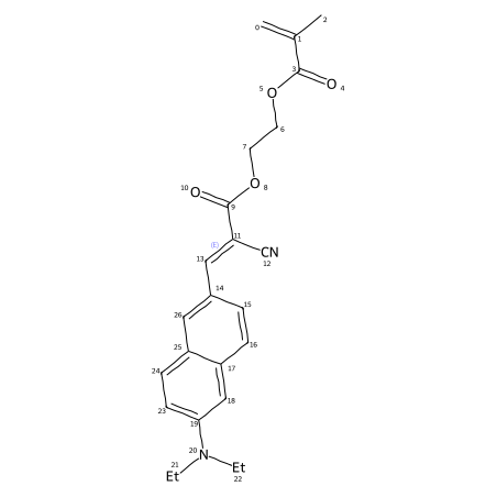 C=C(C)C(=O)OCCOC(=O)/C(C#N)=C/c1ccc2cc(N(CC)CC)ccc2c1